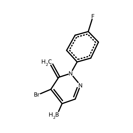 BC1=C(Br)C(=C)N(c2ccc(F)cc2)N=C1